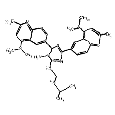 Cc1cc(N(C)C)c2cc(C3=NC(c4ccc5nc(C)cc(N(C)C)c5c4)N(N)C(NCNC(C)C)=N3)ccc2n1